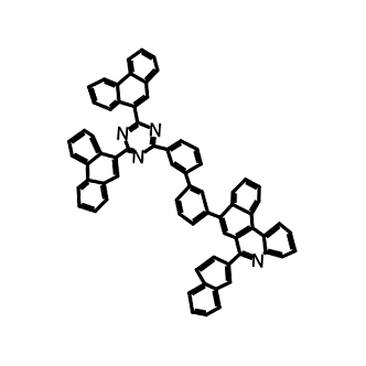 c1cc(-c2cccc(-c3cc4c(-c5ccc6ccccc6c5)nc5ccccc5c4c4ccccc34)c2)cc(-c2nc(-c3cc4ccccc4c4ccccc34)nc(-c3cc4ccccc4c4ccccc34)n2)c1